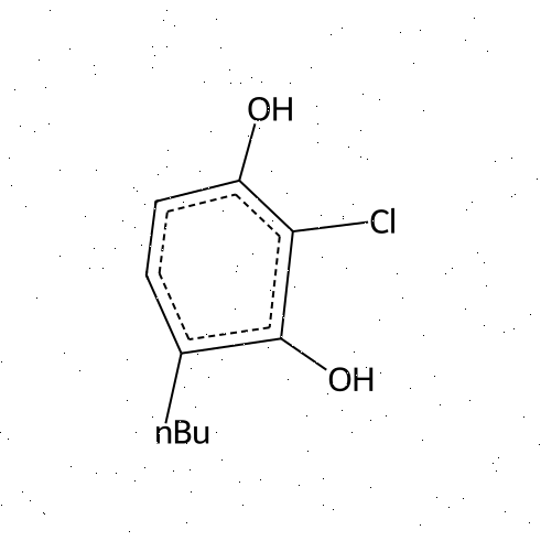 CCCCc1ccc(O)c(Cl)c1O